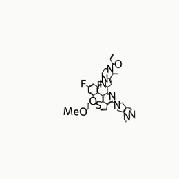 C=CC(=O)N1CCn2nc(-c3nc(N4Cc5cnn(C)c5C4)c4ccsc4c3-c3c(F)cc(F)cc3OCCOC)cc2C1C